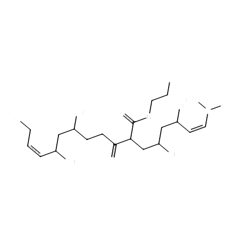 CC(/C=C\CC(C)(C)C)CC(C)CCC(=O)C(CC(C)CC(C)/C=C\P(C)C)C(=O)NCCO